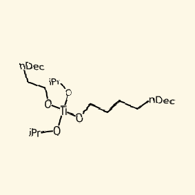 CCCCCCCCCCCCCC[O][Ti]([O]CCCCCCCCCCCC)([O]C(C)C)[O]C(C)C